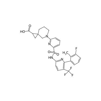 Cc1c(F)cccc1-c1nc(NS(=O)(=O)c2cccc(N3CCCC4(CC4C(=O)O)C3)n2)ccc1C(F)(F)F